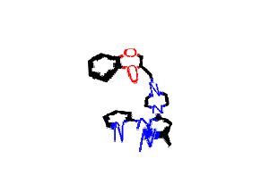 Cc1cc(N2CCN(CC3COc4ccccc4O3)CC2)n(-c2ccccn2)n1